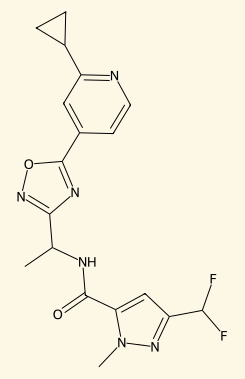 CC(NC(=O)c1cc(C(F)F)nn1C)c1noc(-c2ccnc(C3CC3)c2)n1